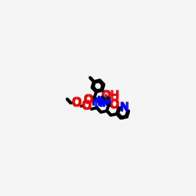 CCOCOCC(CC(Cc1cccnc1)C(=O)NO)NC(=O)c1cccc(C)c1